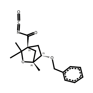 CC1(C)O[C@]2(C)C[C@@]1(C(=O)N=C=O)C[C@@H]2OCc1ccccc1